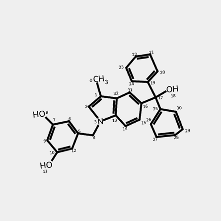 Cc1cn(Cc2cc(O)cc(O)c2)c2ccc(C(O)(c3ccccc3)c3ccccc3)cc12